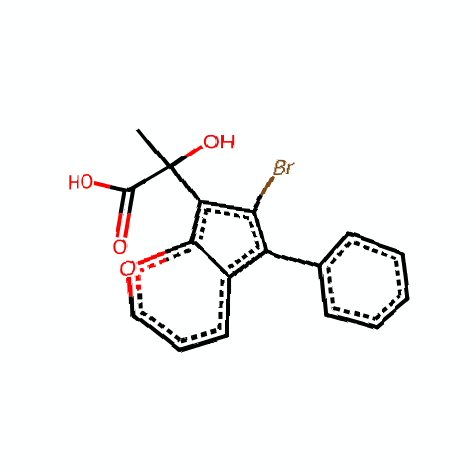 CC(O)(C(=O)O)c1c2occcc-2c(-c2ccccc2)c1Br